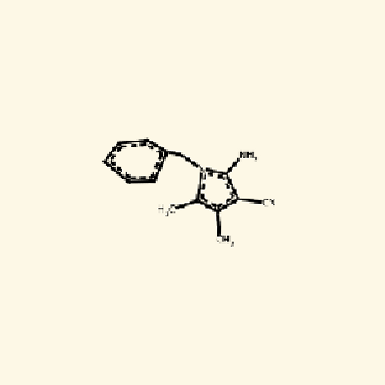 Cc1c(C#N)c(N)n(Cc2ccccc2)c1C